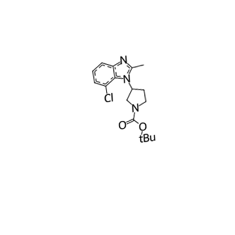 Cc1nc2cccc(Cl)c2n1C1CCN(C(=O)OC(C)(C)C)C1